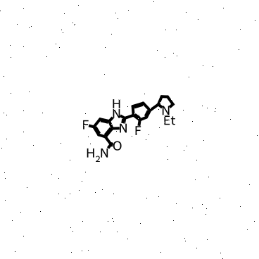 CCN1CCCC1c1ccc(-c2nc3c(C(N)=O)cc(F)cc3[nH]2)c(F)c1